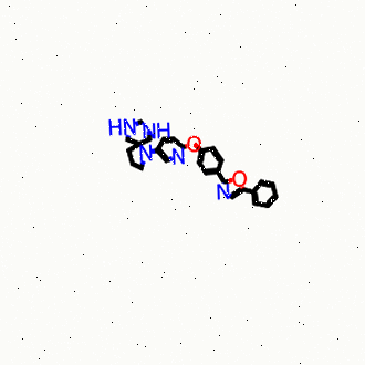 c1ccc(-c2cnc(-c3ccc(Oc4ccc(N5CCCC56CNCNC6)cn4)cc3)o2)cc1